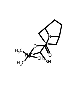 CC(S)N1CC2CCC(C1)N2C(=O)OC(C)(C)C